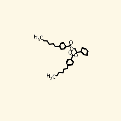 CCCCCCc1ccc(C(=O)OCC(OC(=O)c2ccc(CCCCCC)cc2)c2ccccc2)cc1